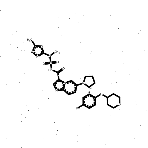 Cc1nnc(N(C)S(=O)(=O)NC(=O)c2cnc3ccc(N4CCC[C@@H]4c4cc(F)ccc4OC4CCOCC4)cn23)s1